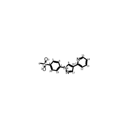 CS(=O)(=O)c1ccc(-n2cc(-c3ccccn3)cn2)cc1